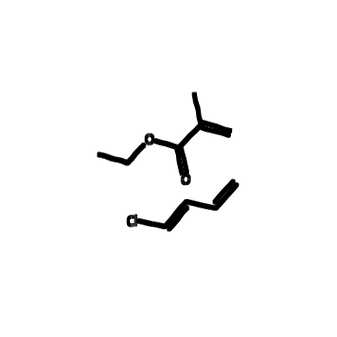 C=C(C)C(=O)OCC.C=CC=CCl